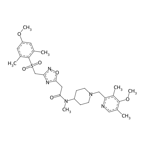 COc1cc(C)c(S(=O)(=O)Cc2noc(CC(=O)N(C)C3CCN(Cc4ncc(C)c(OC)c4C)CC3)n2)c(C)c1